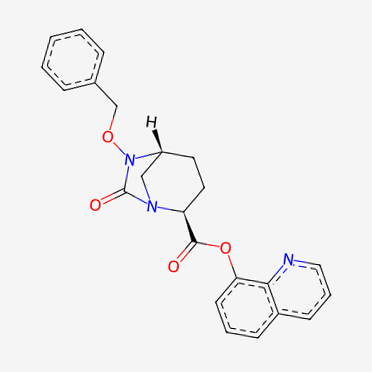 O=C(Oc1cccc2cccnc12)[C@@H]1CC[C@@H]2CN1C(=O)N2OCc1ccccc1